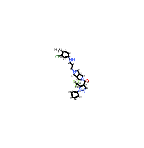 Cc1ccc(NCCCN2CC3CN(C(=O)c4cnn(-c5ccccc5)c4C(F)(F)F)CC3C2)cc1Cl